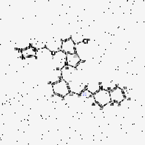 Clc1ccc(OCn2cnnn2)c2c1ccn2Cc1cccc(/C=C/c2ccc3ccccc3n2)c1